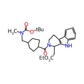 CCOC(=O)CC1c2[nH]c3ccccc3c2CCN1C(=O)C1CCC(CN(C)C(=O)OC(C)(C)C)CC1